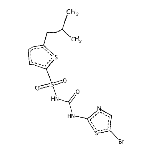 CC(C)Cc1ccc(S(=O)(=O)NC(=O)Nc2ncc(Br)s2)s1